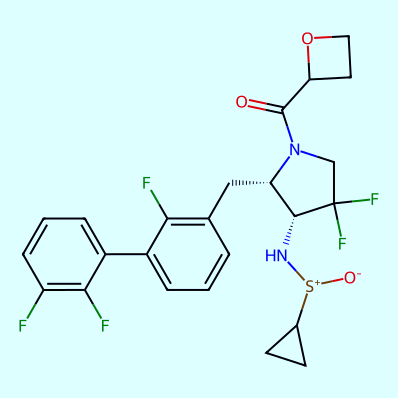 O=C(C1CCO1)N1CC(F)(F)[C@H](N[S+]([O-])C2CC2)[C@@H]1Cc1cccc(-c2cccc(F)c2F)c1F